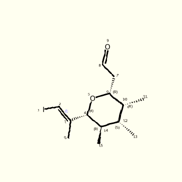 C/C(=C\I)[C@@H]1O[C@H](CC=O)[C@H](C)[C@H](C)[C@H]1C